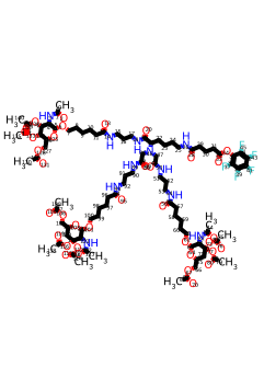 CC(=O)NC1C(OCCCCCC(=O)NCCCNC(=O)C(CCCCNC(=O)CCCC(=O)Oc2c(F)c(F)c(F)c(F)c2F)N(CC(=O)NCCCNC(=O)CCCCCOC2OC(COC(C)=O)CC(OC(C)=O)(OC(C)=O)C2NC(C)=O)CC(=O)NCCCNC(=O)CCCCCOC2OC(COC(C)=O)CC(OC(C)=O)(OC(C)=O)C2NC(C)=O)OC(COC(C)=O)C(OC(C)=O)C1OC(C)=O